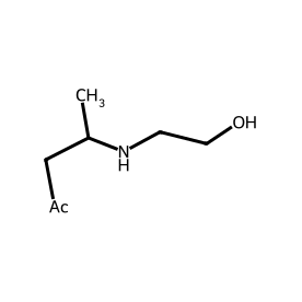 CC(=O)CC(C)NCCO